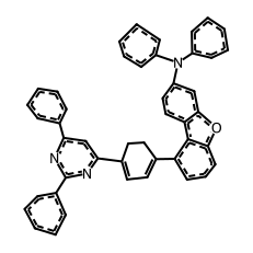 C1=C(c2cc(-c3ccccc3)nc(-c3ccccc3)n2)CCC(c2cccc3oc4cc(N(c5ccccc5)c5ccccc5)ccc4c23)=C1